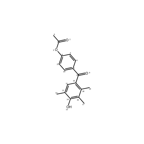 CC(=O)Oc1ccc(C(=O)c2cc(C)c(O)c(C)c2C)cc1